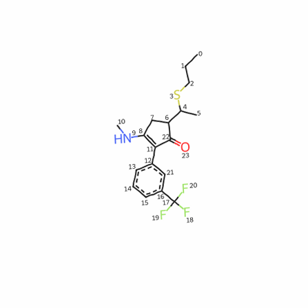 CCCSC(C)C1CC(NC)=C(c2cccc(C(F)(F)F)c2)C1=O